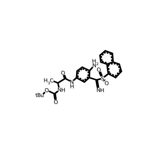 CC(NC(=O)OC(C)(C)C)C(=O)Nc1ccc(N)c(C(=N)S(=O)(=O)c2cccc3ccccc23)c1